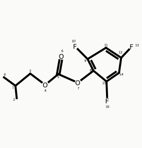 CC(C)COC(=O)Oc1c(F)cc(F)cc1F